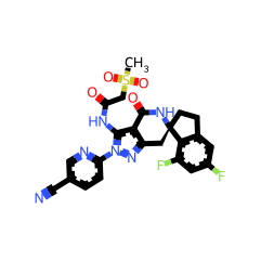 CS(=O)(=O)CC(=O)Nc1c2c(nn1-c1ccc(C#N)cn1)C[C@]1(CCc3cc(F)cc(F)c31)NC2=O